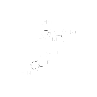 CC(NP(=O)(NC(C)C(=O)OC(C)(C)C)OC[C@H]1SC(n2ccc(N)nc2=O)[C@@H](F)[C@@H]1O)C(=O)OC(C)(C)C